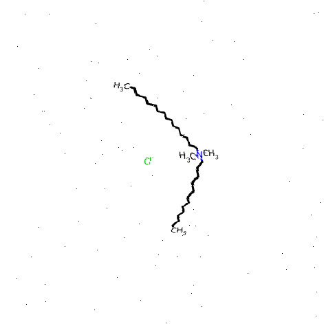 CCCCCCCCCCCCCCCC[N+](C)(C)CCCCCCCCCCCCC.[Cl-]